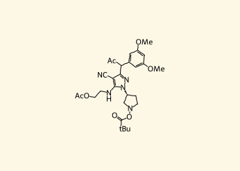 COc1cc(OC)cc(C(C(C)=O)c2nn([C@H]3CCN(OC(=O)C(C)(C)C)C3)c(NCCOC(C)=O)c2C#N)c1